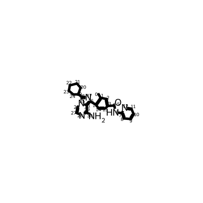 Cc1cc(C(=O)Nc2ccccn2)ccc1-c1nc(C2CCCCC2)n2ccnc(N)c12